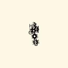 CCNc1ncnc2c1C(C)(C)C(=O)N2c1ccc(N2CCOCC2)cc1